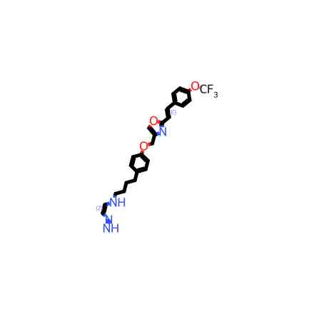 N=N/C=C\NCCCCc1ccc(OCc2coc(/C=C/c3ccc(OC(F)(F)F)cc3)n2)cc1